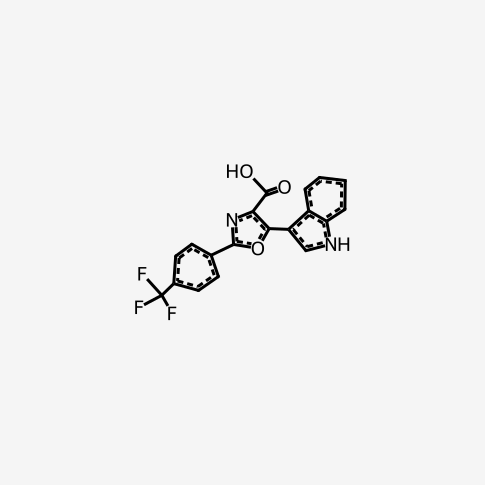 O=C(O)c1nc(-c2ccc(C(F)(F)F)cc2)oc1-c1c[nH]c2ccccc12